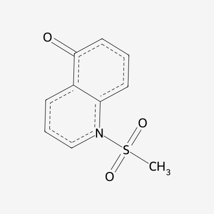 CS(=O)(=O)n1cccc2c(=O)cccc1-2